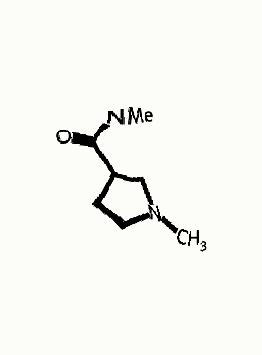 CNC(=O)C1CCN(C)C1